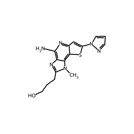 Cn1c(CCCO)nc2c(N)nc3cc(-n4cccn4)sc3c21